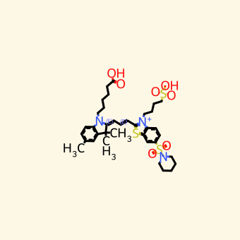 Cc1ccc2c(c1)C(C)(C)/C(=C\C=C\c1sc3cc(S(=O)(=O)N4CCCCC4)ccc3[n+]1CCCCS(=O)(=O)O)N2CCCCCC(=O)O